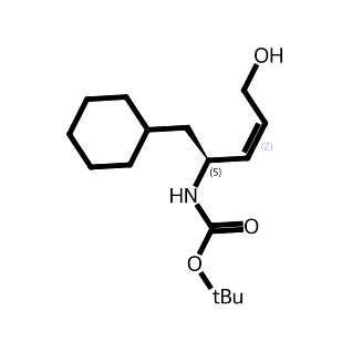 CC(C)(C)OC(=O)N[C@H](/C=C\CO)CC1CCCCC1